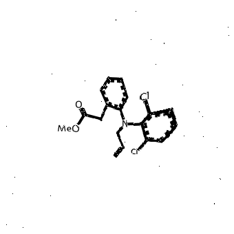 C=CCN(c1ccccc1CC(=O)OC)c1c(Cl)cccc1Cl